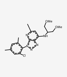 COCC(COC)Nc1cc(C)nc2c1nnn2-c1c(C)cc(C)cc1Cl